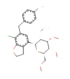 CCCCOC[C@H]1S[C@@H](c2cc(Cc3ccc(OC)cc3)c(Cl)c3c2CCO3)[C@H](OCCCC)[C@@H](OCCCC)[C@@H]1OCCCC